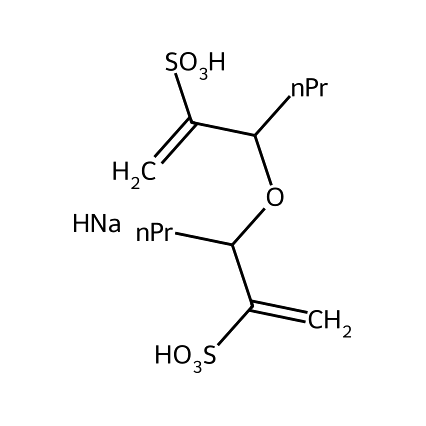 C=C(C(CCC)OC(CCC)C(=C)S(=O)(=O)O)S(=O)(=O)O.[NaH]